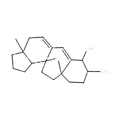 CC12CC=C3C=C4C(O)C(O)CCC45CCC3(O5)C1CCC2